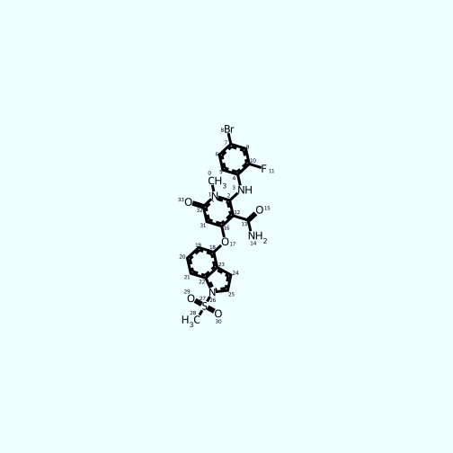 Cn1c(Nc2ccc(Br)cc2F)c(C(N)=O)c(Oc2cccc3c2ccn3S(C)(=O)=O)cc1=O